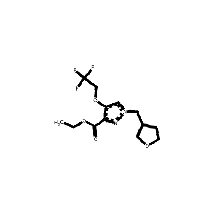 CCOC(=O)c1nn(CC2CCOC2)cc1OCC(F)(F)F